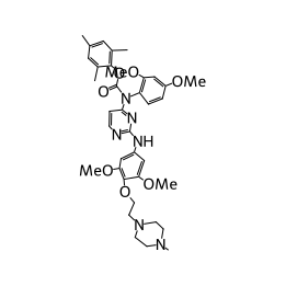 COc1ccc(N(C(=O)Oc2c(C)cc(C)cc2C)c2ccnc(Nc3cc(OC)c(OCCN4CCN(C)CC4)c(OC)c3)n2)c(OC)c1